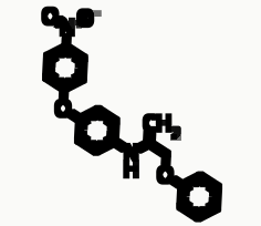 C=C(COc1ccccc1)Nc1ccc(Oc2ccc([N+](=O)[O-])cc2)cc1